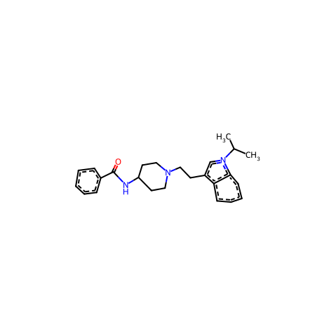 CC(C)n1cc(CCN2CCC(NC(=O)c3ccccc3)CC2)c2ccccc21